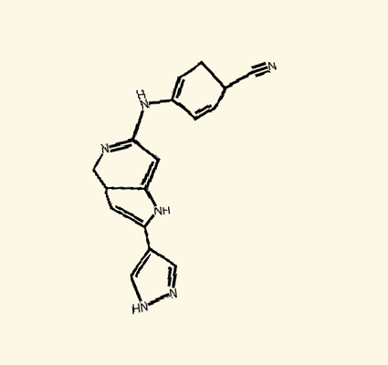 N#CC1C=CC(NC2=NCC3C=C(c4cn[nH]c4)NC3=C2)=CC1